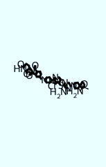 C[C@@H]1OCC2(CCN(c3cnc(Sc4ccnc(N5CCN(Cc6ccc7c(c6)C(=O)N(C6CCC(=O)NC6=O)C7=O)CC5)c4Cl)c(N)n3)CC2)[C@@H]1N